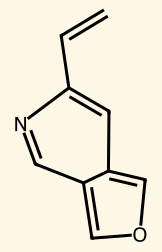 C=Cc1cc2cocc2cn1